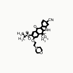 CN(C)S(=O)(=O)c1cc2c(cc1OCCN1CCOCC1)C(C)(C)c1[nH]c3cc(C#N)ccc3c1C2=O